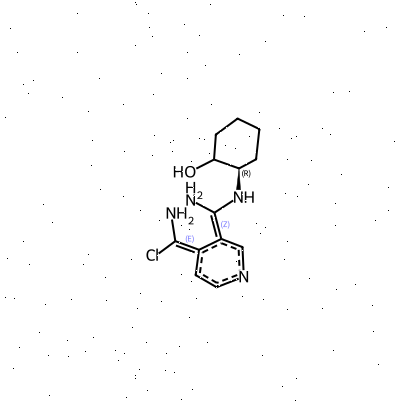 N/C(N[C@@H]1CCCCC1O)=c1/cncc/c1=C(/N)Cl